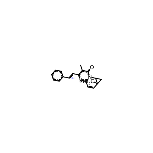 Cc1c(/C=C/c2ccccc2)nc2n(c1=O)C1CC1(C(=O)O)C=C2